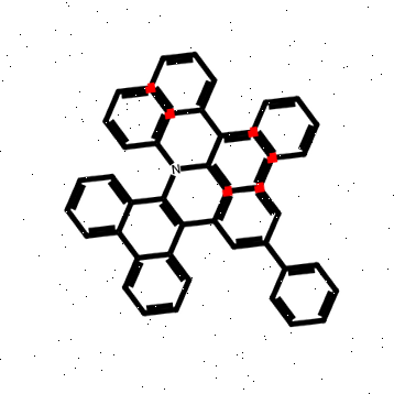 c1ccc(-c2cc(-c3ccccc3)cc(-c3c(N(c4ccccc4)c4ccccc4-c4ccccc4)c4ccccc4c4ccccc34)c2)cc1